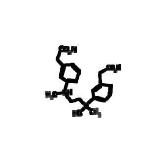 C[SiH](CC[Si](C)(O)c1cccc(CC(=O)O)c1)c1cccc(CC(=O)O)c1